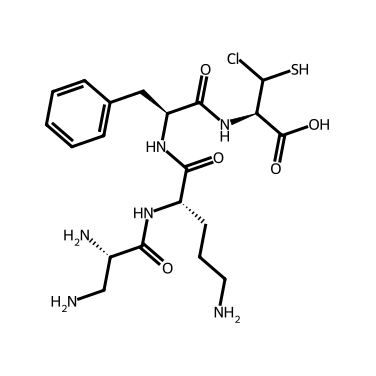 NCCC[C@H](NC(=O)[C@@H](N)CN)C(=O)N[C@@H](Cc1ccccc1)C(=O)N[C@H](C(=O)O)C(S)Cl